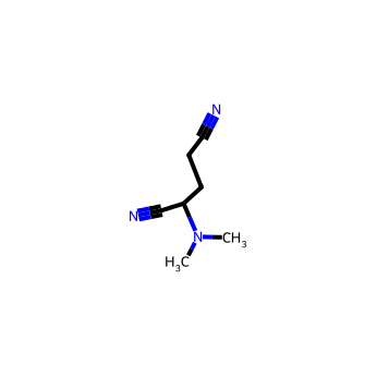 CN(C)C(C#N)CCC#N